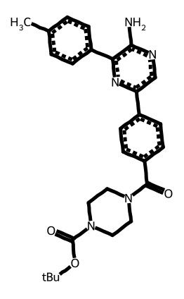 Cc1ccc(-c2nc(-c3ccc(C(=O)N4CCN(C(=O)OC(C)(C)C)CC4)cc3)cnc2N)cc1